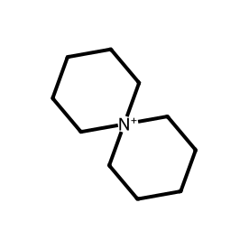 C1CC[N+]2(CC1)CCCCC2